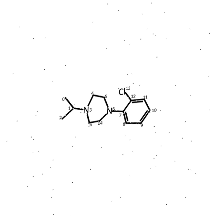 CC(C)N1CCN(c2cc[c]cc2Cl)CC1